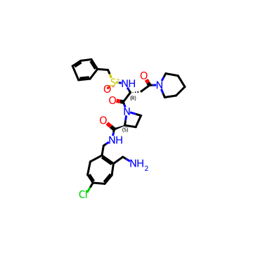 NCC1=C(CNC(=O)[C@@H]2CCN2C(=O)[C@@H](CC(=O)N2CCCCC2)N[S+]([O-])Cc2ccccc2)CC=C(Cl)C=C1